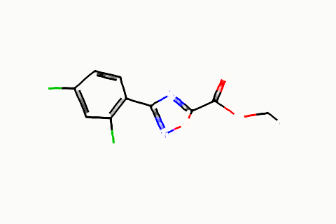 CCOC(=O)c1nc(-c2ccc(Cl)cc2Cl)no1